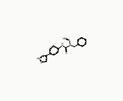 N=NN(Cc1ccccc1)C(=O)Nc1ccc(-c2cn[nH]c2)cc1